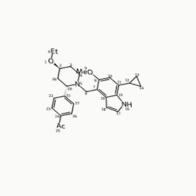 CCO[C@H]1CCN(Cc2c(OC)cc(C3CC3)c3[nH]ccc23)[C@H](c2ccc(C(C)=O)cc2)C1